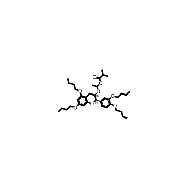 CCCCOc1cc(OCCCC)c2c(c1)O[C@H](c1ccc(OCCCC)c(OCCCC)c1)[C@H](OC(C)OC(=O)C(C)C)C2